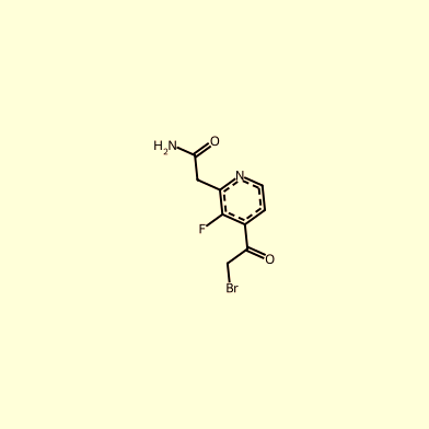 NC(=O)Cc1nccc(C(=O)CBr)c1F